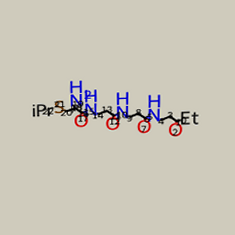 CCC(=O)CCNC(=O)CCNC(=O)CCNC(=O)[C@@H](N)CSC(C)C